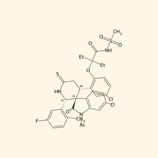 CCC(CC)(Oc1ccc(Cl)cc1[C@H]1CC(=S)N[C@@H](c2cc(F)ccc2C)[C@]12C(=O)N(C(C)=O)c1cc(Cl)ccc12)C(=O)NS(C)(=O)=O